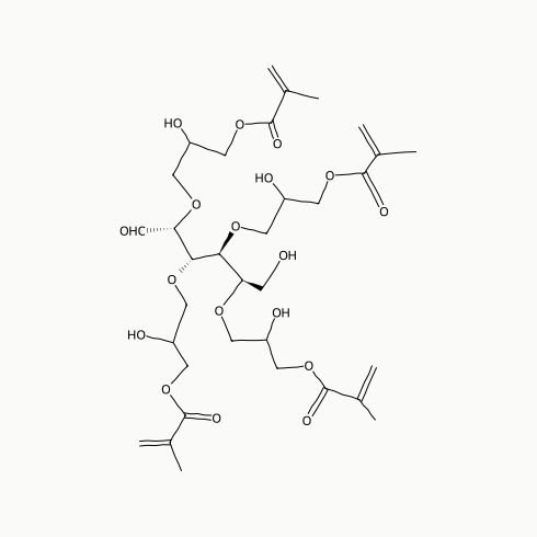 C=C(C)C(=O)OCC(O)CO[C@H]([C@H](OCC(O)COC(=O)C(=C)C)[C@H](C=O)OCC(O)COC(=O)C(=C)C)[C@@H](CO)OCC(O)COC(=O)C(=C)C